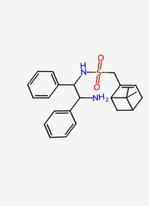 CC1(C)C2CC=C(CS(=O)(=O)NC(c3ccccc3)C(N)c3ccccc3)C1C2